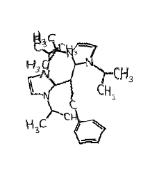 CC(C)N1C=CN(C(C)C)C1C(CCc1ccccc1)C1N(C(C)C)C=CN1C(C)C